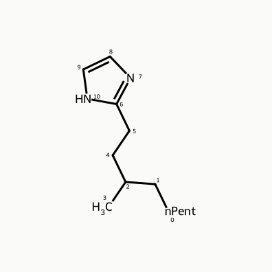 CCCCCCC(C)CCc1ncc[nH]1